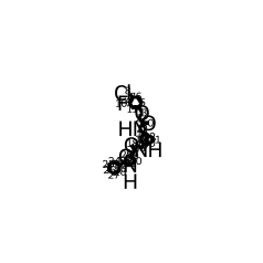 O=C(COc1ccc(Cl)c(F)c1)NC1CC(NC(=O)C2CNC(c3ccccc3)O2)C2CC1C2